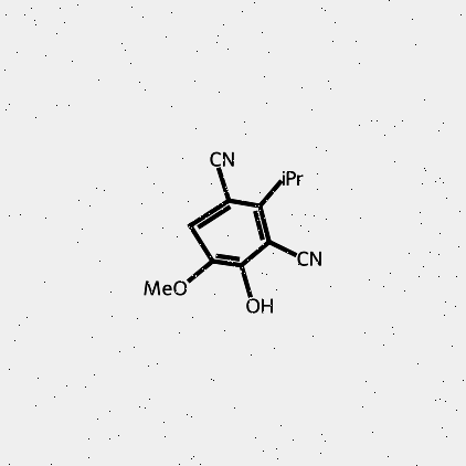 COc1cc(C#N)c(C(C)C)c(C#N)c1O